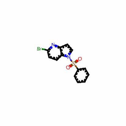 O=S(=O)(c1ccccc1)n1ccc2nc(Br)ccc21